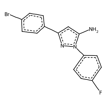 Nc1cc(-c2ccc(Br)cc2)nn1-c1ccc(F)cc1